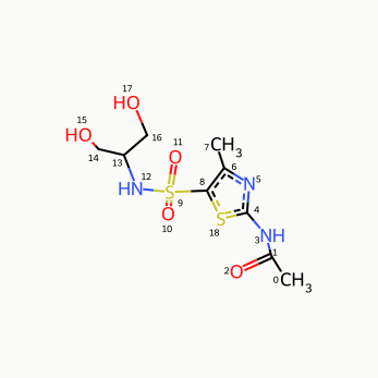 CC(=O)Nc1nc(C)c(S(=O)(=O)NC(CO)CO)s1